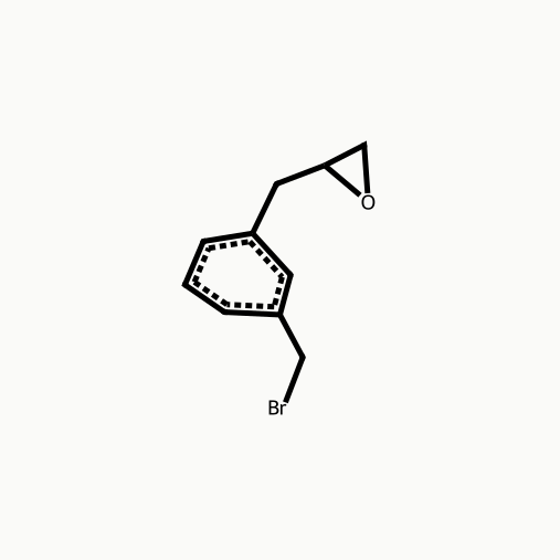 BrCc1cccc(CC2CO2)c1